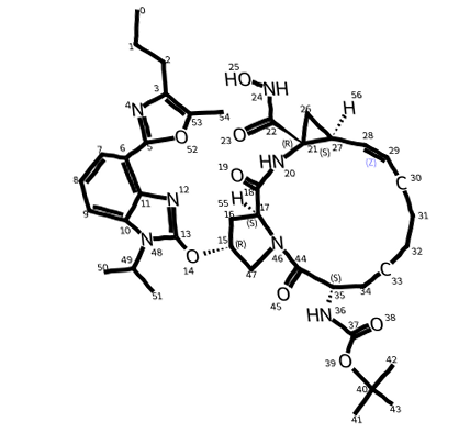 CCCc1nc(-c2cccc3c2nc(O[C@@H]2C[C@H]4C(=O)N[C@]5(C(=O)NO)C[C@H]5/C=C\CCCCC[C@H](NC(=O)OC(C)(C)C)C(=O)N4C2)n3C(C)C)oc1C